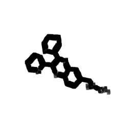 CNCc1ccc2nc(-c3ccccn3)c(-c3ccccn3)nc2c1